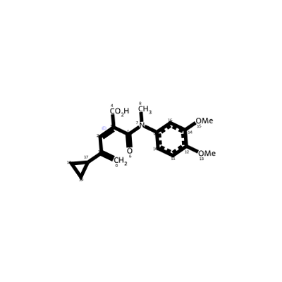 C=C(/C=C(/C(=O)O)C(=O)N(C)c1ccc(OC)c(OC)c1)C1CC1